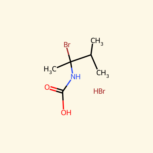 Br.CC(C)C(C)(Br)NC(=O)O